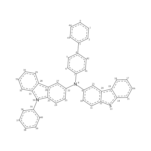 c1ccc(-c2ccc(N(c3ccc4sc5ccccc5c4c3)c3ccc4c(c3)c3ccccc3n4-c3ccccc3)cc2)cc1